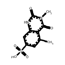 Cc1cc(S(=O)(=O)O)cc2[nH]c(=O)n(C)c(=O)c12